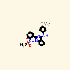 COc1ccc(Nc2nc(-c3ccccc3NS(C)(=O)=O)nc3ccccc23)cc1